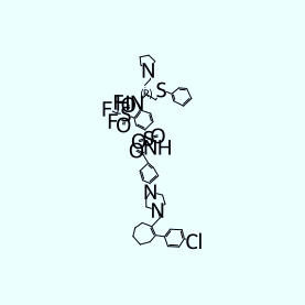 O=C(NS(=O)(=O)c1ccc(N[C@H](CCN2CCCC2)CSc2ccccc2)c(S(=O)(=O)C(F)(F)F)c1)c1ccc(N2CCN(CC3=C(c4ccc(Cl)cc4)CCCCC3)CC2)cc1